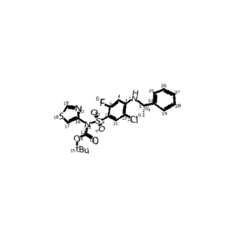 C[C@H](Nc1cc(F)c(S(=O)(=O)N(C(=O)OC(C)(C)C)c2cscn2)cc1Cl)c1ccccc1